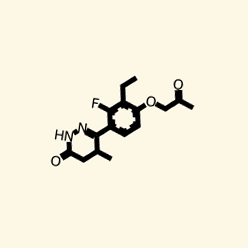 CCc1c(OCC(C)=O)ccc(C2=NNC(=O)CC2C)c1F